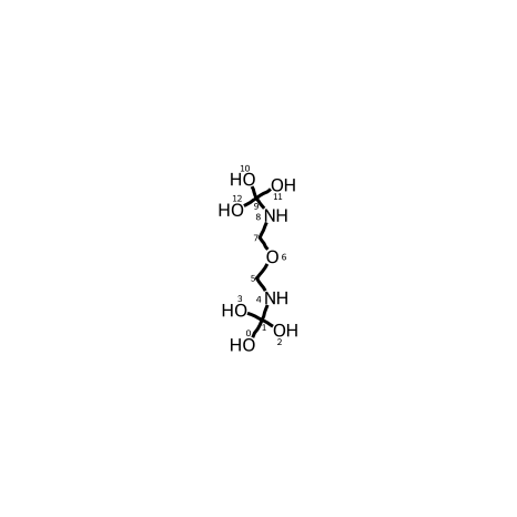 OC(O)(O)NCOCNC(O)(O)O